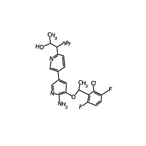 CCCC(c1ccc(-c2cnc(N)c(OC(C)c3c(F)ccc(F)c3Cl)c2)cn1)C(C)O